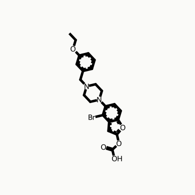 CCOc1cccc(CN2CCN(c3ccc4oc(OC(=O)O)cc4c3Br)CC2)c1